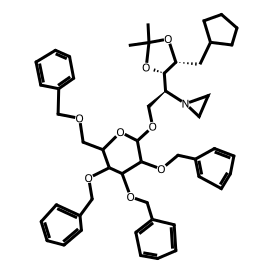 CC1(C)O[C@@H]([C@H](COC2OC(COCc3ccccc3)C(OCc3ccccc3)C(OCc3ccccc3)C2OCc2ccccc2)N2CC2)[C@@H](CC2CCCC2)O1